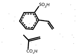 C=C(C)C(=O)O.C=Cc1ccccc1S(=O)(=O)O